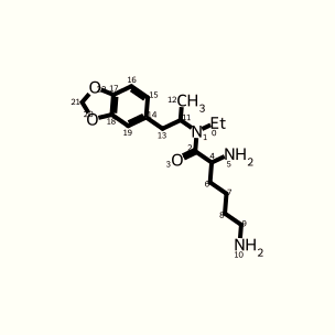 CCN(C(=O)C(N)CCCCN)C(C)Cc1ccc2c(c1)OCO2